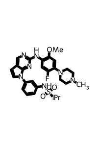 COc1cc(N2CCN(C)CC2)c(F)cc1Nc1ncc2ccn(-c3cccc(NS(=O)(=O)C(C)C)c3)c2n1